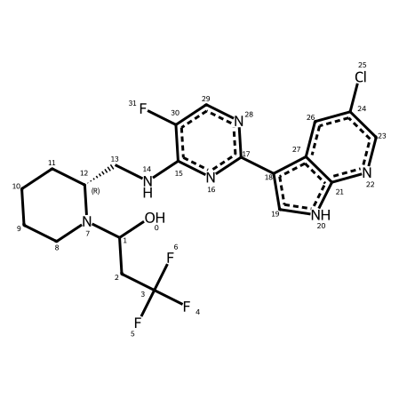 OC(CC(F)(F)F)N1CCCC[C@@H]1CNc1nc(-c2c[nH]c3ncc(Cl)cc23)ncc1F